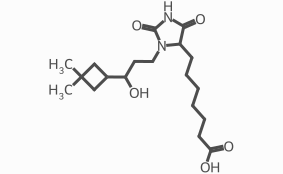 CC1(C)CC(C(O)CCN2C(=O)NC(=O)C2CCCCCCC(=O)O)C1